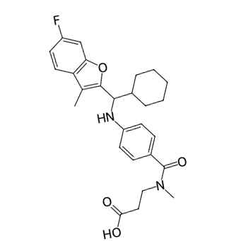 Cc1c(C(Nc2ccc(C(=O)N(C)CCC(=O)O)cc2)C2CCCCC2)oc2cc(F)ccc12